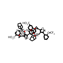 O=C(O)c1cnc(NC2C3CCC2CC(OCc2c(-c4ccc(C5CC5c5onc(-c6ccccc6OC(F)(F)F)c5COC5CC6CCC(C5)C6Nc5ccc6cc(C(=O)O)ccc6n5)cc4OC(F)(F)F)noc2C2CC2)C3)c(C(F)(F)F)c1